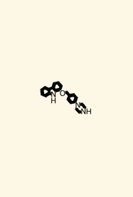 c1ccc2c(c1)[nH]c1c(OCc3ccc(N4CCNCC4)cc3)cccc12